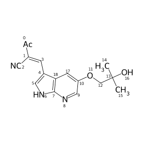 CC(=O)C(C#N)=Cc1c[nH]c2ncc(OCC(C)(C)O)cc12